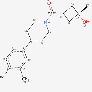 Cc1ccc(C2CCN(C(=O)[C@H]3C[C@@](C)(O)C3)CC2)cc1C(F)(F)F